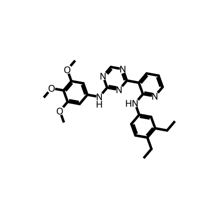 CCc1ccc(Nc2ncccc2-c2ncnc(Nc3cc(OC)c(OC)c(OC)c3)n2)cc1CC